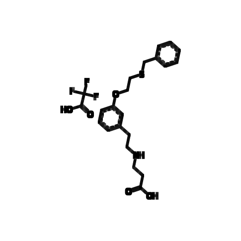 O=C(O)C(F)(F)F.O=C(O)CCNCCc1cccc(OCCSCc2ccccc2)c1